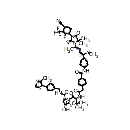 C=N/C(=C\C=C(/C)N1C(=S)N(c2ccc(C#N)c(C(F)(F)F)c2F)C(=O)C1(C)C)c1ccc(NC(=O)c2ccc(CC(=O)N[C@H](C(=O)N3C[C@H](O)C[C@H]3C(=O)NCc3ccc(-c4scnc4C)cc3)C(C)(C)C)cc2)cc1